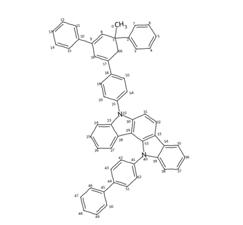 CC1(c2ccccc2)C=C(c2ccccc2)C=C(c2ccc(-n3c4ccccc4c4c3ccc3c5ccccc5n(-c5ccc(-c6ccccc6)cc5)c34)cc2)C1